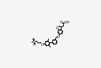 Cc1cc(OCCCS(C)(=O)=O)cc(C)c1-c1cccc(COc2ccc3c(c2)OCC3CC(=O)O)c1